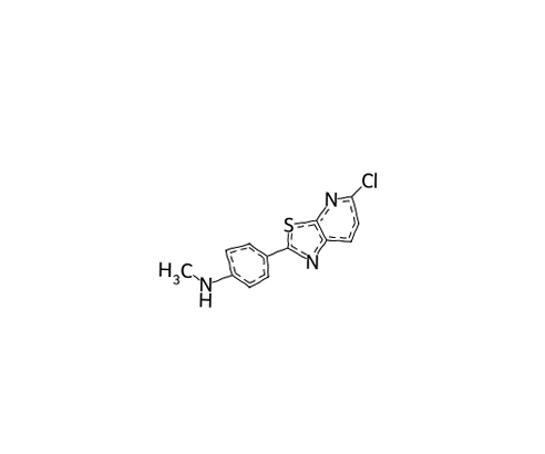 CNc1ccc(-c2nc3ccc(Cl)nc3s2)cc1